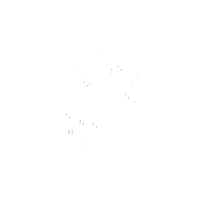 CN(C)c1nc(N[C@H]2CC[C@@H](CNC(=O)Cc3ccccc3C(=O)Nc3cccc([N+](=O)[O-])c3)CC2)nc2ccccc12